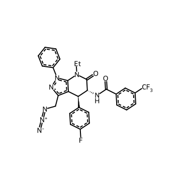 CCN1C(=O)[C@H](NC(=O)c2cccc(C(F)(F)F)c2)[C@@H](c2ccc(F)cc2)c2c(CN=[N+]=[N-])nn(-c3ccccc3)c21